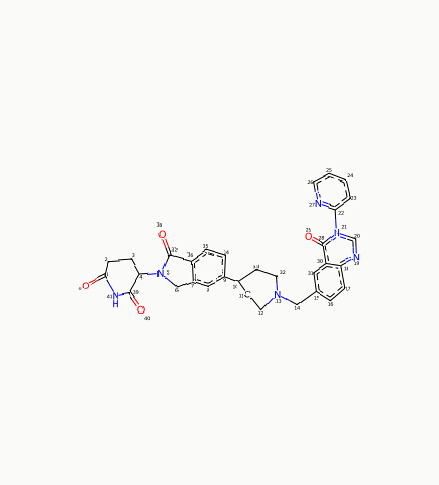 O=C1CCC(N2Cc3cc(C4CCN(Cc5ccc6ncn(-c7ccccn7)c(=O)c6c5)CC4)ccc3C2=O)C(=O)N1